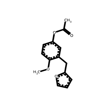 COc1ccc(OC(C)=O)cc1Cc1ccco1